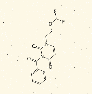 O=C(c1ccccc1)n1c(=O)ccn(CCOC(F)F)c1=O